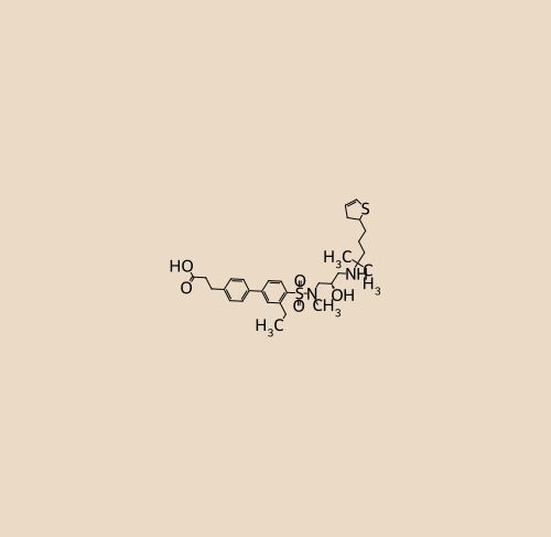 CCc1cc(-c2ccc(CCC(=O)O)cc2)ccc1S(=O)(=O)N(C)C[C@H](O)CNC(C)(C)CCCC1CC=CS1